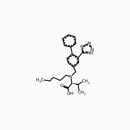 CCCCCN(Cc1ccc(-c2ccccc2)c(-c2nnn[nH]2)c1)[C@H](C(=O)O)C(C)C